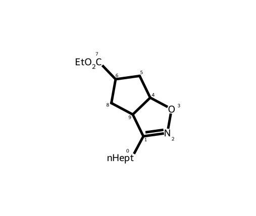 CCCCCCCC1=NOC2CC(C(=O)OCC)CC12